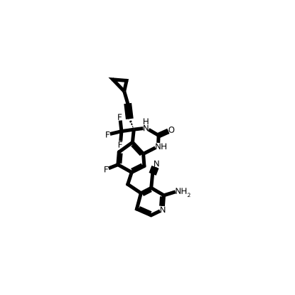 N#Cc1c(Cc2cc3c(cc2F)[C@@](C#CC2CC2)(C(F)(F)F)NC(=O)N3)ccnc1N